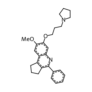 COc1cc2c3c(c(-c4ccccc4)nc2cc1OCCCN1CCCC1)CCC3